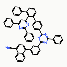 N#Cc1ccc(-c2cccc(-c3nc(-c4ccccc4)nc(-c4ccc(-c5cccc(-c6ccccc6)c5-c5cc(-c6ccccc6)nc(-c6ccccc6)n5)cc4)n3)c2)c2ccccc12